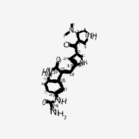 CN(C)[C@@H]1CNCC1C(=O)c1c[nH]c(/C=C2\C(=O)Nc3ccc(NC(N)=O)cc32)c1